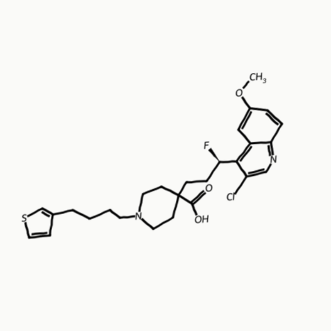 COc1ccc2ncc(Cl)c([C@H](F)CCC3(C(=O)O)CCN(CCCCc4ccsc4)CC3)c2c1